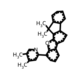 Cc1cnc(-c2cccc3c2oc2c4c(ccc23)-c2ccccc2C4(C)C)cc1C